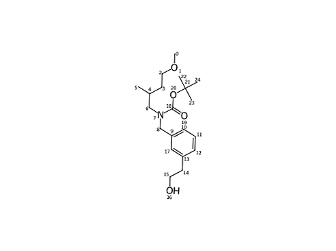 COCCC(C)CN(Cc1cccc(CCO)c1)C(=O)OC(C)(C)C